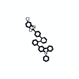 Clc1ccc2oc(-c3ccc(C4C=CC=CC4c4ccccc4-c4ccc5c(c4)c4ccccc4n5-c4ccccc4)cc3)nc2c1